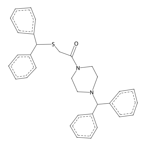 O=C(CSC(c1ccccc1)c1ccccc1)N1CCN(C(c2ccccc2)c2ccccc2)CC1